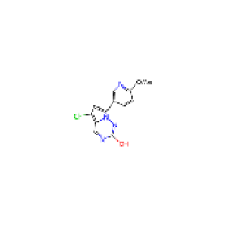 COc1ccc(-c2cc(Cl)c3cnc(O)nn23)cn1